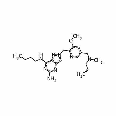 C=CCN(C)Cc1cnc(Cn2cc3nc(N)nc(NCCCC)c3n2)c(OC)c1